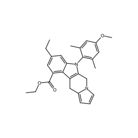 CCOC(=O)c1cc(CC)cc2c1c1c(n2-c2c(C)cc(OC)cc2C)Cn2cccc2C1